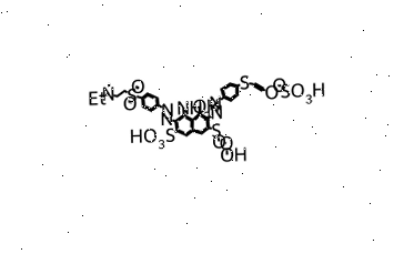 CCN(C)CCS(=O)(=O)c1ccc(N=Nc2c(S(=O)(=O)O)cc3cc(SOOO)c(N=Nc4ccc(SC#COOS(=O)(=O)O)cc4)c(O)c3c2N)cc1